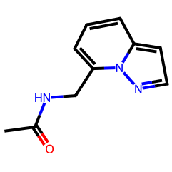 CC(=O)NCc1cccc2ccnn12